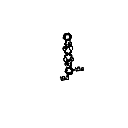 CC(C)(C)c1ccc(CP2(=O)OCC3(COP(=O)(Cc4ccccc4)OC3)CO2)c(C(C)(C)C)c1